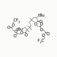 CC(C)(C)CC(C)(C(=O)OCC(=O)OCC(=O)OCC(F)(F)F)C(C)(C)CCC(C)(C)CC(C(=O)OCC(=O)OCC(=O)OCC(F)(F)F)C(C)(C)C